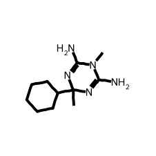 CN1C(N)=NC(C)(C2CCCCC2)N=C1N